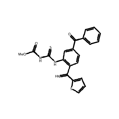 COC(=O)NC(=S)Nc1cc(C(=O)c2ccccc2)ccc1C(=N)c1cccs1